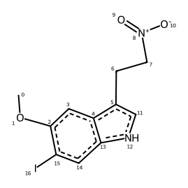 COc1cc2c(CC[N+](=O)[O-])c[nH]c2cc1I